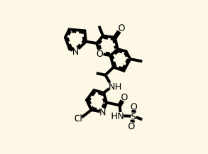 Cc1cc(C(C)Nc2ccc(Cl)nc2C(=O)NS(C)(=O)=O)c2oc(-c3ccccn3)c(C)c(=O)c2c1